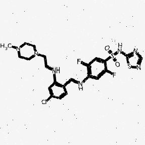 CN1CCN(CCNc2cc(Cl)ccc2CNc2cc(F)c(S(=O)(=O)Nc3ncns3)cc2F)CC1